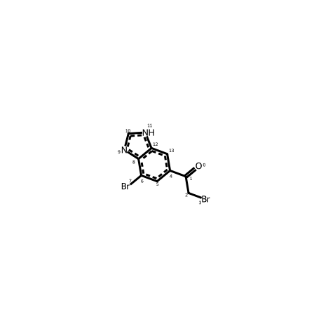 O=C(CBr)c1cc(Br)c2nc[nH]c2c1